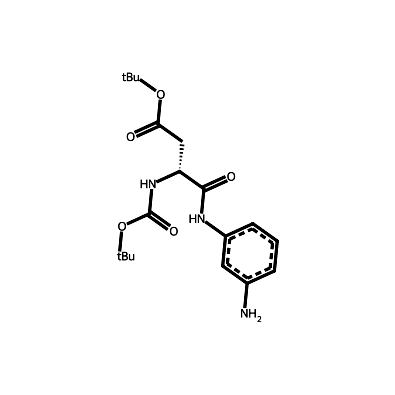 CC(C)(C)OC(=O)C[C@@H](NC(=O)OC(C)(C)C)C(=O)Nc1cccc(N)c1